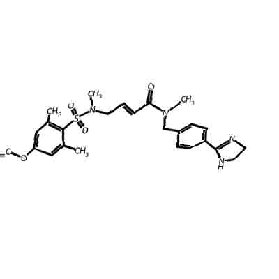 COc1cc(C)c(S(=O)(=O)N(C)C/C=C/C(=O)N(C)Cc2ccc(C3=NCCN3)cc2)c(C)c1